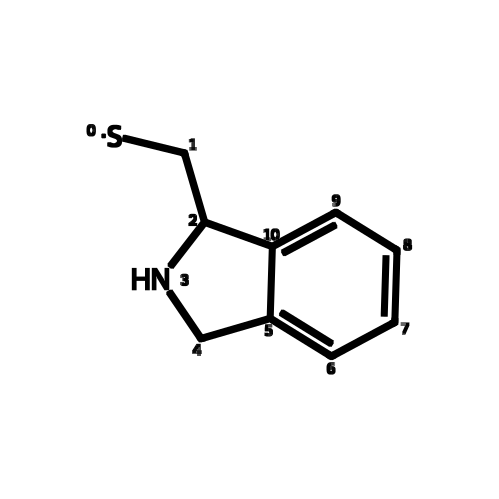 [S]CC1NCc2ccccc21